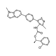 Cc1nsc(-c2ccc(-c3ccc4c(ccn4C)c3)cc2)c1NC(=O)O[C@H](C)c1ccccc1Cl